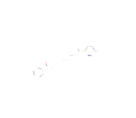 C[C@@]1(CN(O)C(=O)c2ccccc2)CO[C@H](CNC(=O)c2cnc(Cl)cc2Cl)[C@H]1O